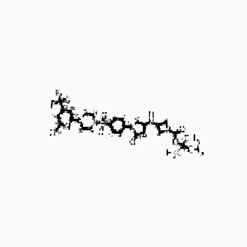 CC(C)(C)OC(=O)N1CC(NC2CC(=O)N(c3ccc(S(=O)(=O)N4CCN(c5cc(C(F)(F)F)cc(Cl)n5)CC4)cc3)C2)C1